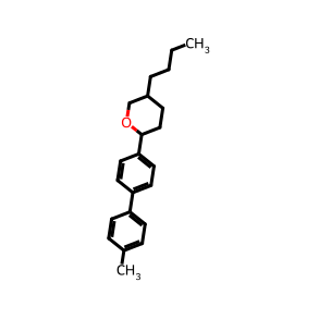 CCCCC1CCC(c2ccc(-c3ccc(C)cc3)cc2)OC1